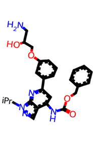 CC(C)n1ncc2c(NC(=O)OCc3ccccc3)cc(-c3cccc(OCC(O)CN)c3)nc21